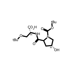 CC(C)(C)OC[C@@H](NC(=O)C1C[C@@H](O)CN1C(=O)OC(C)(C)C)C(=O)O